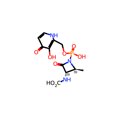 C[C@H]1[C@H](NC(=O)O)C(=O)N1P(=O)(O)OCc1[nH]ccc(=O)c1O